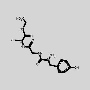 CC(C)[C@H](NC(=O)CNC(=O)[C@@H](N)Cc1ccc(O)cc1)C(=O)NCC(=O)O